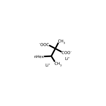 CCCCCCC(C)C(C)(C(=O)[O-])C(=O)[O-].[Li+].[Li+]